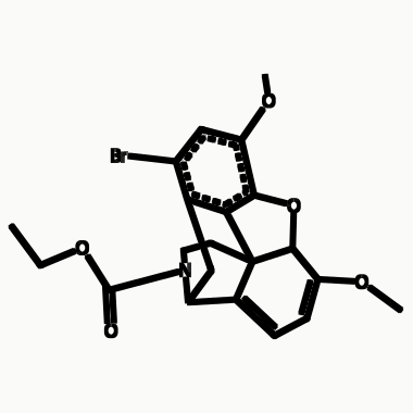 CCOC(=O)N1CCC23C4=CC=C(OC)C2Oc2c(OC)cc(Br)c(c23)CC41